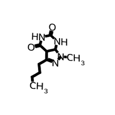 CCCCC1=NN(C)C2NC(=O)NC(=O)C12